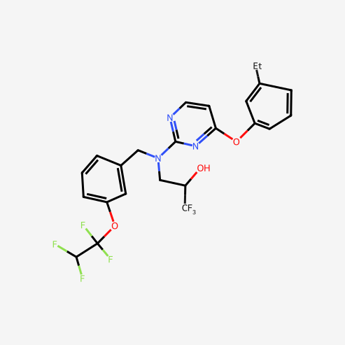 CCc1cccc(Oc2ccnc(N(Cc3cccc(OC(F)(F)C(F)F)c3)CC(O)C(F)(F)F)n2)c1